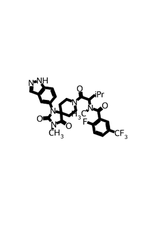 CC(C)C(C(=O)N1CCC2(CC1)C(=O)N(C)C(=O)N2c1ccc2[nH]ncc2c1)N(C)C(=O)c1cc(C(F)(F)F)ccc1F